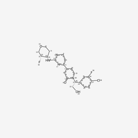 O=c1cc(-c2ccnc(N[C@H]3CCOC[C@H]3F)n2)ccn1[C@@H](CO)c1ccc(Cl)c(F)c1